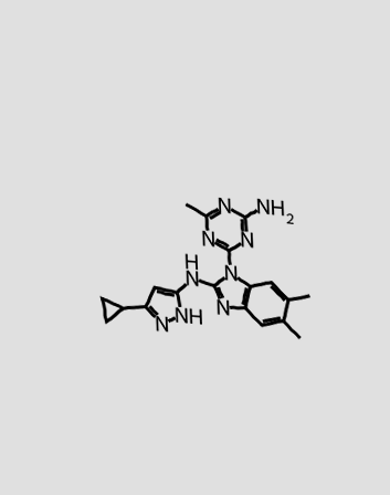 Cc1nc(N)nc(-n2c(Nc3cc(C4CC4)n[nH]3)nc3cc(C)c(C)cc32)n1